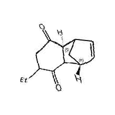 CCC1CC(=O)[C@H]2C3C=C[C@@H](C3)C2C1=O